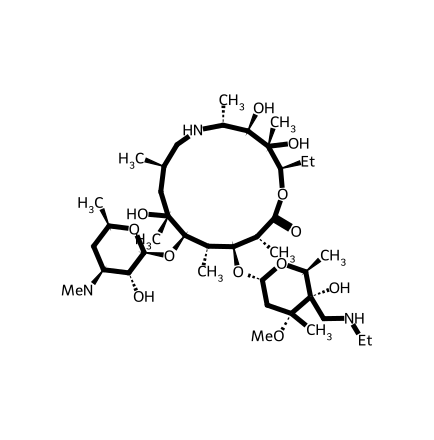 CCNC[C@]1(O)[C@H](C)O[C@@H](O[C@H]2[C@H](C)[C@@H](O[C@@H]3O[C@H](C)C[C@H](NC)[C@H]3O)[C@](C)(O)C[C@@H](C)CN[C@H](C)[C@@H](O)[C@](C)(O)[C@@H](CC)OC(=O)[C@@H]2C)C[C@@]1(C)OC